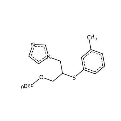 CCCCCCCCCCOCC(Cn1ccnc1)Sc1cccc(C)c1